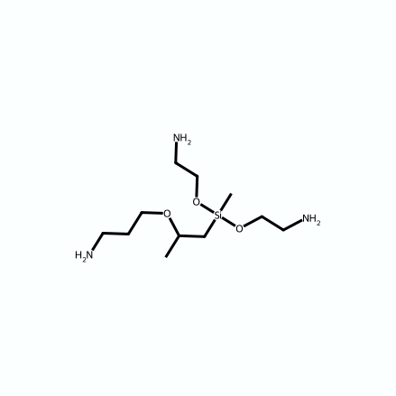 CC(C[Si](C)(OCCN)OCCN)OCCCN